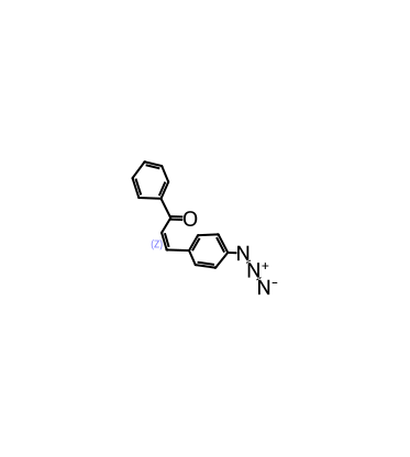 [N-]=[N+]=Nc1ccc(/C=C\C(=O)c2ccccc2)cc1